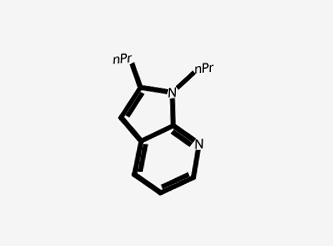 CCCc1cc2cccnc2n1CCC